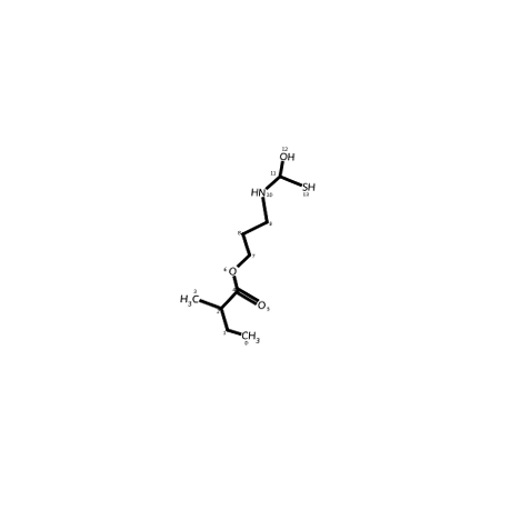 CCC(C)C(=O)OCCCNC(O)S